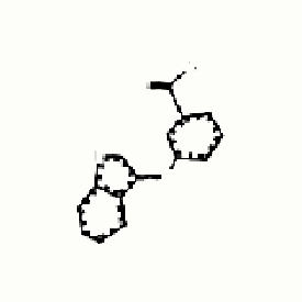 NC(=O)c1cccc([Se]c2c[nH]c3ccccc23)c1